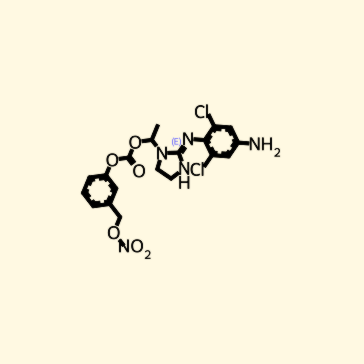 CC(OC(=O)Oc1cccc(CO[N+](=O)[O-])c1)N1CCN/C1=N\c1c(Cl)cc(N)cc1Cl